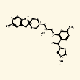 Cc1ccc(C(=O)N2CC[C@H](O)C2)c(OC[C@H](O)CN2CCC3(CC2)Cc2cc(Cl)ccc2O3)c1